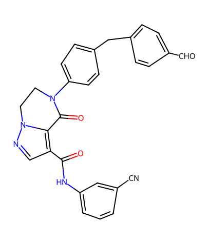 N#Cc1cccc(NC(=O)c2cnn3c2C(=O)N(c2ccc(Cc4ccc(C=O)cc4)cc2)CC3)c1